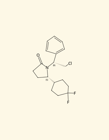 O=C1CC[C@@H](C2CCC(F)(F)CC2)N1[C@@H](CCl)c1ccccc1